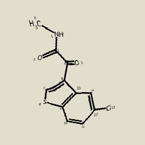 CNC(=O)C(=O)c1csc2ccc(Cl)cc12